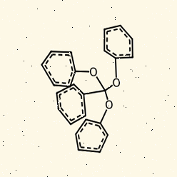 c1ccc(OC(Oc2ccccc2)(Oc2ccccc2)c2ccccc2)cc1